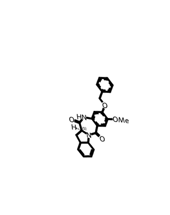 COc1cc2c(cc1OCc1ccccc1)NC(=O)[C@@H]1CC3C=CC=CC3N1C2=O